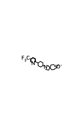 [O-][S+]1CCC2(CCN(C3CCC(c4ccc(C(F)(F)F)cn4)CC3)C2)CC1